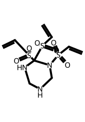 C=CS(=O)(=O)N1CNCNC1(S(=O)(=O)C=C)S(=O)(=O)C=C